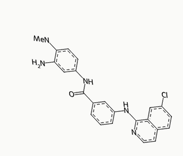 CNc1ccc(NC(=O)c2cccc(Nc3nccc4ccc(Cl)cc34)c2)cc1N